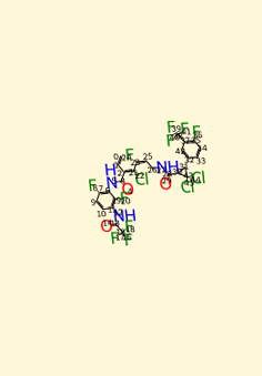 C=C/C(C(=O)Nc1c(F)ccc(NC(=O)C(F)(F)F)c1F)=C(Cl)\C(F)=C/CNC(=O)[C@H]1[C@H](c2ccc(F)c(C(F)(F)F)c2)C1(Cl)Cl